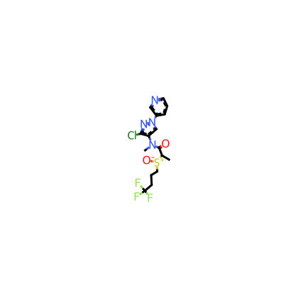 CC(C(=O)N(C)c1cn(-c2cccnc2)nc1Cl)[S+]([O-])CCCC(F)(F)F